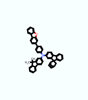 CC1(C)c2ccccc2-c2ccc(N(c3ccc(-c4ccc5c(c4)oc4ccccc45)cc3)c3ccc4c(c3)C3(CC5CCC3C5)c3ccccc3-4)cc21